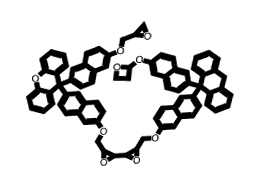 c1ccc2c(c1)Cc1ccccc1C2(c1ccc2cc(OCC3OC3C3OC3COc3ccc4cc(C5(c6ccc7cc(OCC8CO8)ccc7c6)c6ccccc6Oc6ccccc65)ccc4c3)ccc2c1)c1ccc2cc(OC3CCO3)ccc2c1